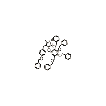 Cc1c(Cc2ccc(OCc3ccccc3)cc2)c(O[C@@H]2C=C(COCc3ccccc3)[C@@H](OCc3ccccc3)[C@H](OCc3ccccc3)[C@H]2OCc2ccccc2)nn1C(C)C